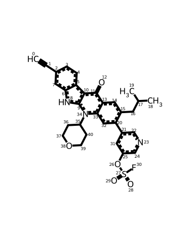 C#Cc1ccc2c(c1)[nH]c1c2c(=O)c2cc(CC(C)C)c(-c3cncc(OS(=O)(=O)F)c3)cc2n1C1CCOCC1